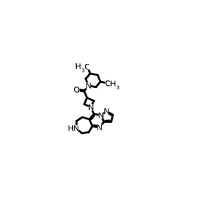 CC1CC(C)CN(C(=O)C2CN(c3c4c(nc5ccnn35)CCNCC4)C2)C1